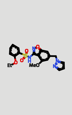 CCOc1ccccc1S(=O)(=O)Nc1noc2cc(Cn3cccn3)cc(OC)c12